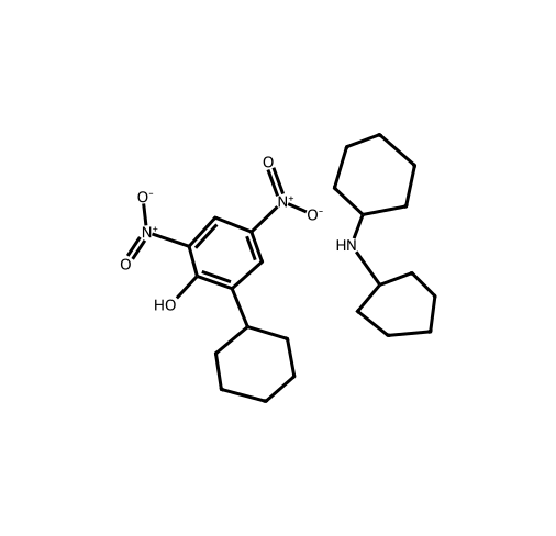 C1CCC(NC2CCCCC2)CC1.O=[N+]([O-])c1cc(C2CCCCC2)c(O)c([N+](=O)[O-])c1